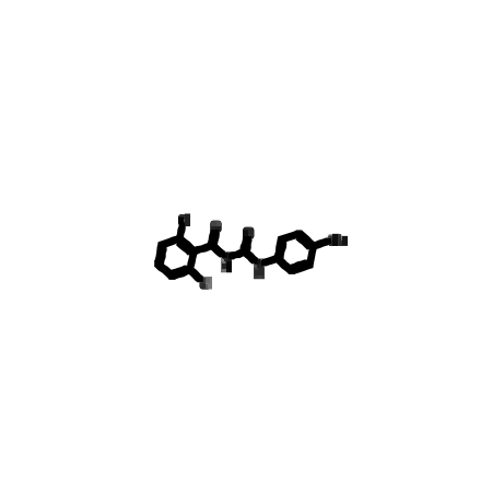 CC(C)(C)c1ccc(NC(=O)NC(=O)c2c(Cl)cccc2Cl)cc1